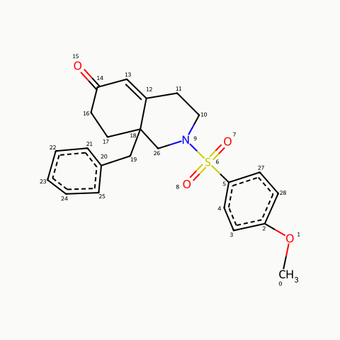 COc1ccc(S(=O)(=O)N2CCC3=CC(=O)CCC3(Cc3ccccc3)C2)cc1